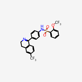 O=S(=O)(Nc1ccc(C2=NCCc3cc(C(F)(F)F)ccc32)cc1)c1ccccc1OC(F)(F)F